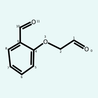 O=CCOc1ccccc1C=O